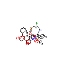 C[C@@H]1/C=C\C[C@@H](F)CS[C@H]2O[C@@H]([C@@H]1N[S@+]([O-])C(C)(C)C)[C@H](c1ccccc1C(=O)O)[C@H](c1ccccc1C(=O)O)[C@@H]2c1ccccc1C(=O)O